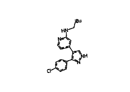 CCC(C)CNc1cc(-c2c[nH]nc2-c2ccc(Cl)cc2)ccn1